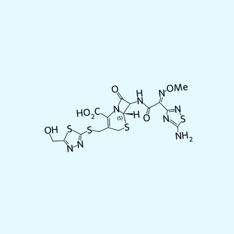 CON=C(C(=O)NC1C(=O)N2C(C(=O)O)=C(CSc3nnc(CO)s3)CS[C@@H]12)c1nsc(N)n1